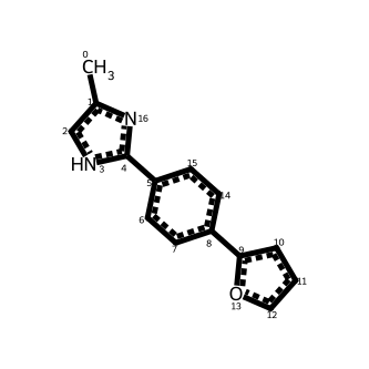 Cc1c[nH]c(-c2ccc(-c3ccco3)cc2)n1